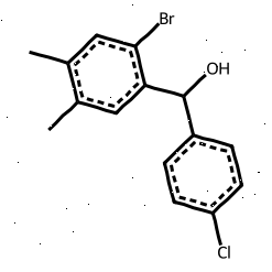 Cc1cc(Br)c(C(O)c2ccc(Cl)cc2)cc1C